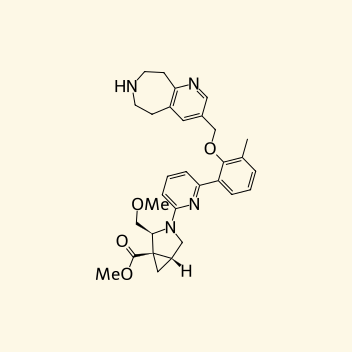 COC[C@H]1N(c2cccc(-c3cccc(C)c3OCc3cnc4c(c3)CCNCC4)n2)C[C@@H]2C[C@@]21C(=O)OC